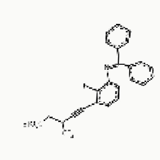 CCOC(=O)CC(C#Cc1cccc(N=C(c2ccccc2)c2ccccc2)c1F)C(F)(F)F